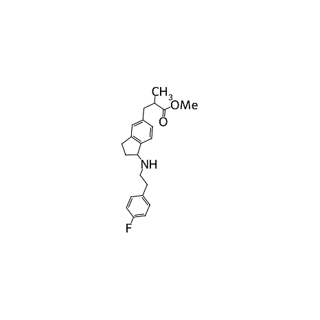 COC(=O)C(C)Cc1ccc2c(c1)CCC2NCCc1ccc(F)cc1